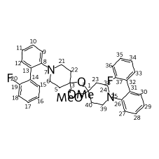 COC1(OC2(OC)CCN(c3ccccc3-c3ccccc3F)CC2)CCN(c2ccccc2-c2ccccc2F)CC1